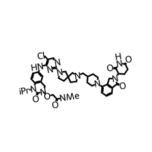 CNC(=O)CON1Cc2cc(Nc3nc(N4CCC5(CCN(CC6CCN(c7cccc8c7CN(C7CCC(=O)NC7=O)C8=O)CC6)C5)C4)ncc3Cl)ccc2N(C(C)C)C1=O